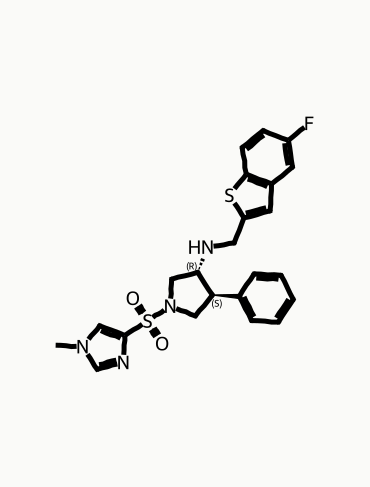 Cn1cnc(S(=O)(=O)N2C[C@H](NCc3cc4cc(F)ccc4s3)[C@@H](c3ccccc3)C2)c1